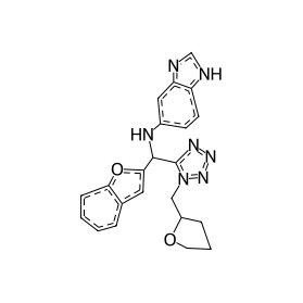 c1ccc2oc(C(Nc3ccc4[nH]cnc4c3)c3nnnn3CC3CCCO3)cc2c1